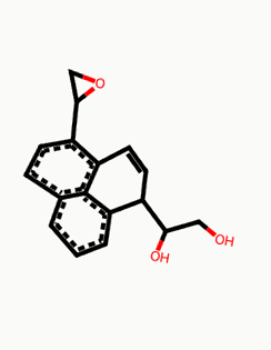 OCC(O)C1C=Cc2c(C3CO3)ccc3cccc1c23